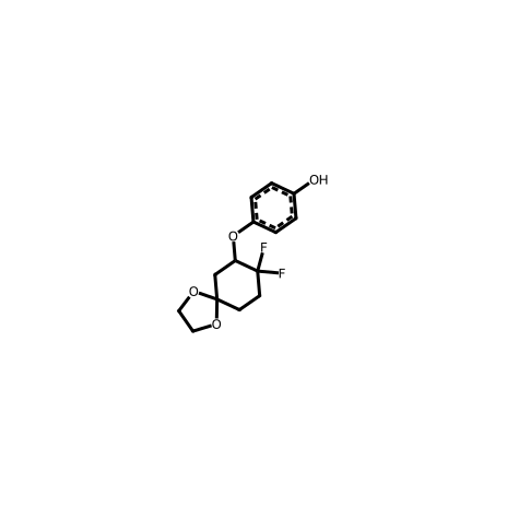 Oc1ccc(OC2CC3(CCC2(F)F)OCCO3)cc1